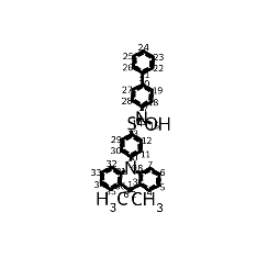 CC1(C)c2ccccc2N(c2ccc(SN(O)c3ccc(-c4ccccc4)cc3)cc2)c2ccccc21